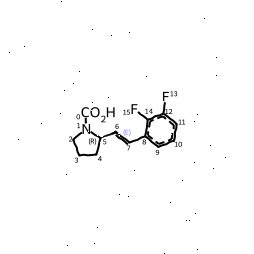 O=C(O)N1CCC[C@@H]1/C=C/c1cccc(F)c1F